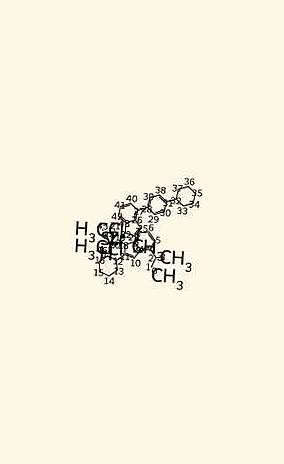 CCC(C)c1cccc2c1C=C(C1CCCCC1)[CH]2[Zr]([Cl])([Cl])([CH]1C(C)=Cc2c(-c3ccc(C4CCCCC4)cc3)cccc21)[SiH](C)C